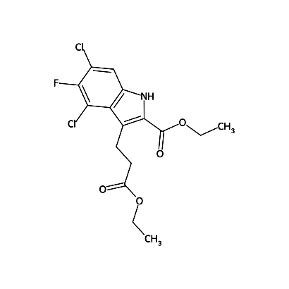 CCOC(=O)CCc1c(C(=O)OCC)[nH]c2cc(Cl)c(F)c(Cl)c12